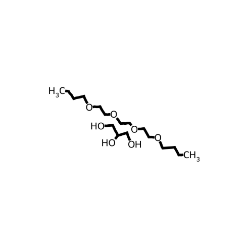 CCCCOCCOCCOCCOCCCC.OCC(O)CO